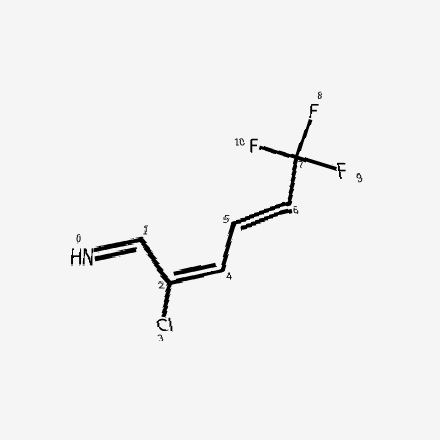 N=C/C(Cl)=C\C=C\C(F)(F)F